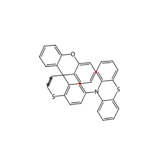 c1ccc2c(c1)Oc1ccccc1C21c2ccccc2Sc2ccc(N3c4ccccc4Sc4ccccc43)cc21